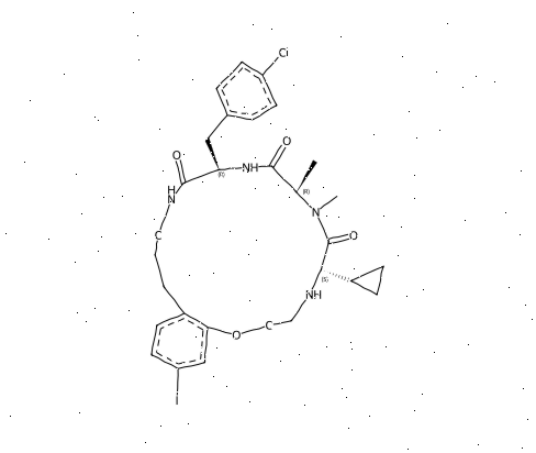 C[C@@H]1C(=O)N[C@H](Cc2ccc(Cl)cc2)C(=O)NCCCc2ccc(I)cc2OCCN[C@@H](C2CC2)C(=O)N1C